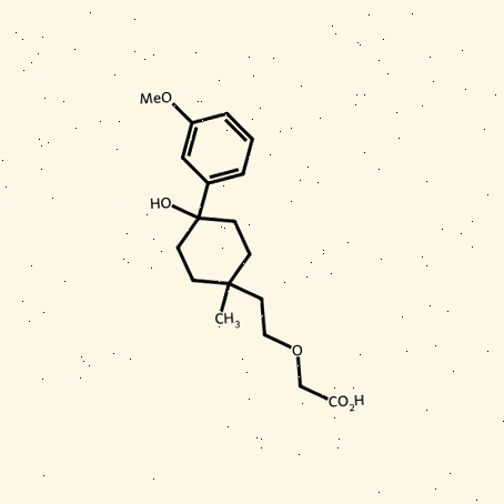 COc1cccc(C2(O)CCC(C)(CCOCC(=O)O)CC2)c1